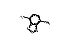 Nc1ccc(N)c2nsnc12